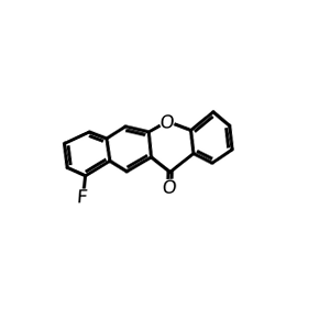 O=c1c2ccccc2oc2cc3cccc(F)c3cc12